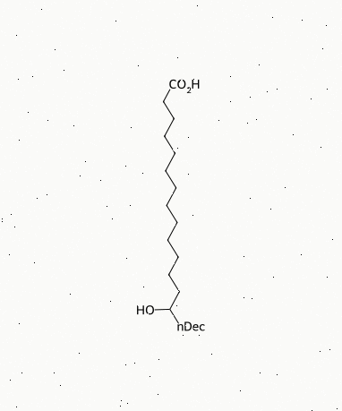 CCCCCCCCCCC(O)CCCCCCCCCCCCC(=O)O